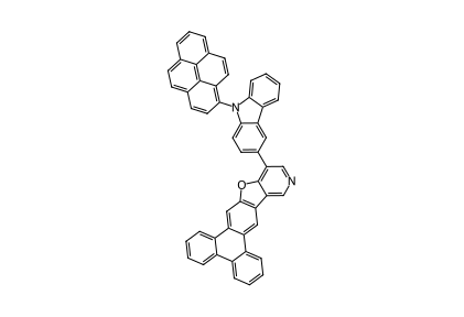 c1cc2ccc3ccc(-n4c5ccccc5c5cc(-c6cncc7c6oc6cc8c9ccccc9c9ccccc9c8cc67)ccc54)c4ccc(c1)c2c34